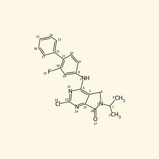 CC(C)N1Cc2c(Nc3ccc(-c4ccccc4)c(F)c3)nc(Cl)nc2C1=O